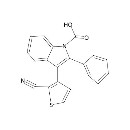 N#Cc1sccc1-c1c(-c2ccccc2)n(C(=O)O)c2ccccc12